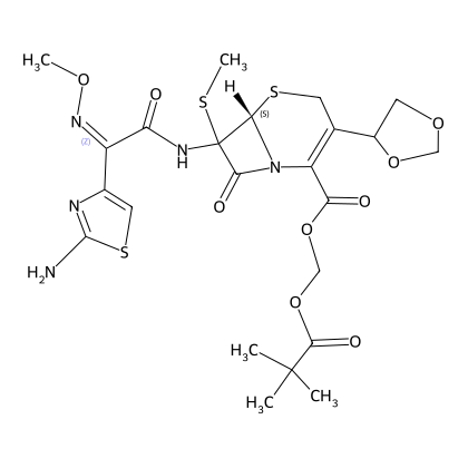 CO/N=C(\C(=O)NC1(SC)C(=O)N2C(C(=O)OCOC(=O)C(C)(C)C)=C(C3COCO3)CS[C@H]21)c1csc(N)n1